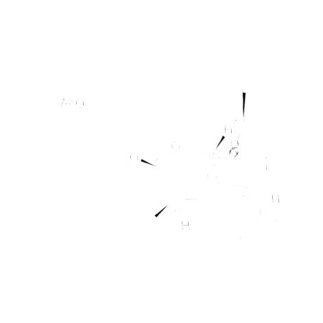 CC(=O)OCCO[C@H]1O[C@@H]2O[C@@]3(C)CC[C@H]4[C@H](C)CC[C@@H]([C@H]1C)[C@@]24OO3